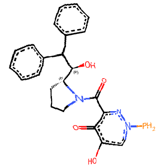 O=C(c1nn(P)cc(O)c1=O)N1CCC[C@@H]1[C@H](O)C(c1ccccc1)c1ccccc1